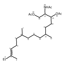 CCC(C)=CCCC(C)CCCC(C)CCC(OC(C)=O)C(COC(C)=O)NC(C)=O